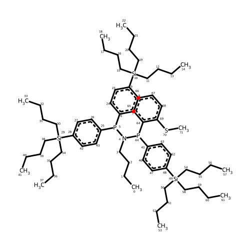 CCCCN(P(c1ccc([Si](CCCC)(CCCC)CCCC)cc1)c1ccc([Si](CCCC)(CCCC)CCCC)cc1)P(c1ccc([Si](CCCC)(CCCC)CCCC)cc1)c1ccccc1SC